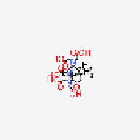 CC(C)(C)[C@H](CN(CC(=O)O)[C@H]1CCCC[C@H]1N(CC(=O)O)CC(=O)O)N(CC(=O)O)CC(=O)O